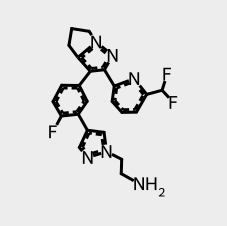 NCCn1cc(-c2cc(-c3c(-c4cccc(C(F)F)n4)nn4c3CCC4)ccc2F)cn1